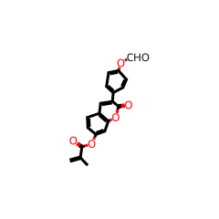 C=C(C)C(=O)Oc1ccc2cc(-c3ccc(OC=O)cc3)c(=O)oc2c1